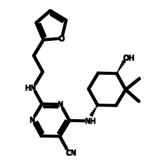 CC1(C)C[C@H](Nc2nc(NCCc3ccco3)ncc2C#N)CC[C@@H]1O